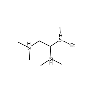 CC[SiH](C)C(C[SiH](C)C)[SiH](C)C